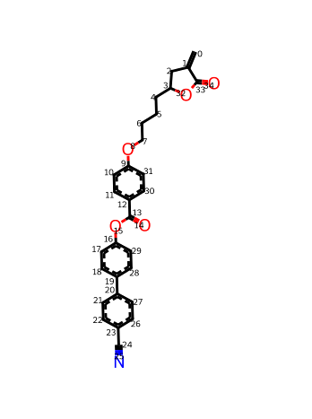 C=C1CC(CCCCOc2ccc(C(=O)Oc3ccc(-c4ccc(C#N)cc4)cc3)cc2)OC1=O